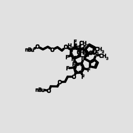 CCCCOCCOCCOc1c(F)c(F)[c]([Ti]([C]2=C([Si](C)(C)C)C=CC2)([C]2=C([Si](C)(C)C)C=CC2)[c]2c(F)c(F)c(OCCOCCOCCCC)c(F)c2F)c(F)c1F